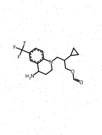 NC1CCN(CC(COC=O)C2CC2)c2ccc(C(F)(F)F)cc21